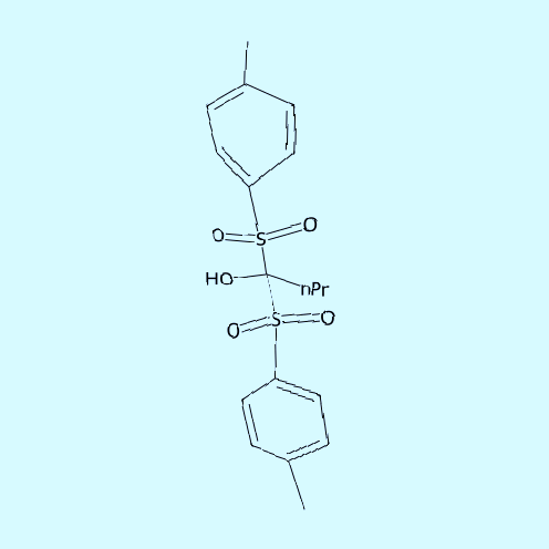 CCCC(O)(S(=O)(=O)c1ccc(C)cc1)S(=O)(=O)c1ccc(C)cc1